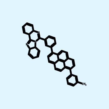 Cc1cccc(-c2ccc3ccc4c(-c5cccc(C6=NC7C=CC=CC7C7=NC8C=CC=CC8N67)c5)ccc5ccc2c3c54)c1